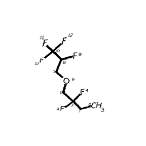 CCC(F)(F)COCC(F)C(F)(F)F